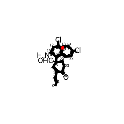 C/C=C/C1=C[C@](C=O)(c2ccc(Cl)cc2N)[C@H](c2cccc(Cl)c2)CC1=O